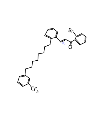 O=C(/C=C/c1ccccc1CCCCCCCCc1cccc(C(F)(F)F)c1)c1ccccc1Br